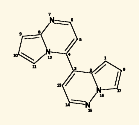 c1cc2c(-c3ccnc4cccn34)ccnn2c1